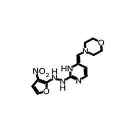 O=[N+]([O-])c1ccoc1NNC1=NC=CC(=CN2CCOCC2)N1